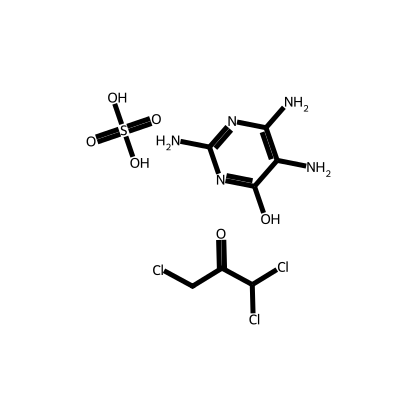 Nc1nc(N)c(N)c(O)n1.O=C(CCl)C(Cl)Cl.O=S(=O)(O)O